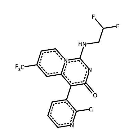 O=c1nc(NCC(F)F)n2ccc(C(F)(F)F)cc2c1-c1cccnc1Cl